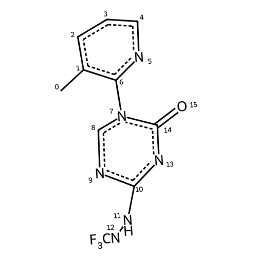 Cc1cccnc1-n1cnc(NNC(F)(F)F)nc1=O